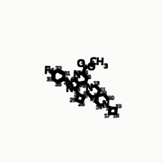 COC(=O)c1cc(N2CCC3(CC2)CCN(C2CCC2)CC3)c2c(C3CCC3)nn(-c3ccc(F)cc3)c2n1